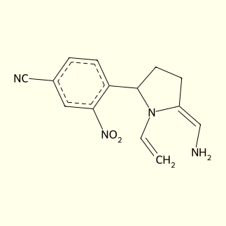 C=CN1/C(=C\N)CCC1c1ccc(C#N)cc1[N+](=O)[O-]